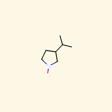 CC(C)C1CCN(O)C1